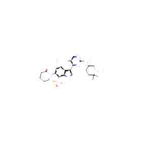 CC1(C)CC[C@H](Nc2ncc(C(F)(F)F)c(-c3c[nH]c4c(P(C)(C)=O)c(N5CCCCC5=O)ccc34)n2)CN1